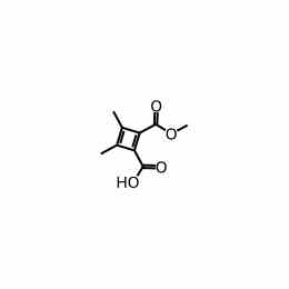 COC(=O)C1=C(C(=O)O)C(C)=C1C